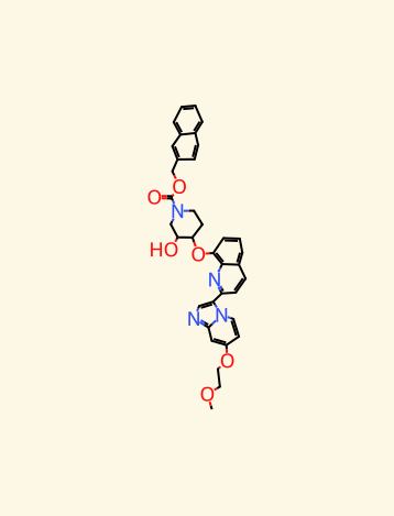 COCCOc1ccn2c(-c3ccc4cccc(OC5CCN(C(=O)OCc6ccc7ccccc7c6)CC5O)c4n3)cnc2c1